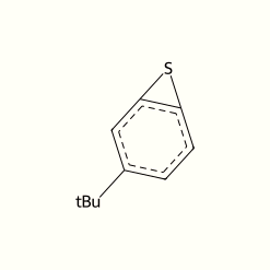 CC(C)(C)c1ccc2c(c1)S2